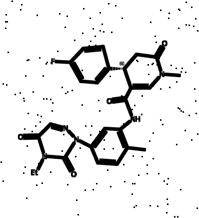 CCn1c(=O)cnn(-c2ccc(C)c(NC(=O)C3=CN(C)C(=O)C[C@H]3c3ccc(F)cc3)c2)c1=O